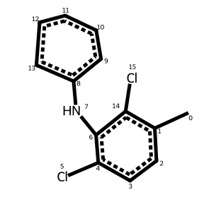 Cc1ccc(Cl)c(Nc2ccccc2)c1Cl